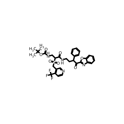 CC(C)(C)OC(=O)NCC(C(=O)NCCC(C(=O)c1nc2ccccc2o1)c1ccccc1)S(=O)(=O)Cc1cnccc1C(F)(F)F